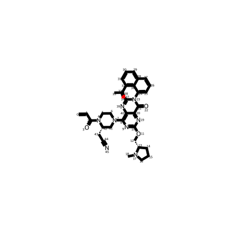 C=CC(=O)N1CCN(c2nc(OC[C@@H]3CCCN3C)nc3c(=O)n(-c4cccc5cccc(C(=C)C)c45)c(C)nc23)C[C@@H]1CC#N